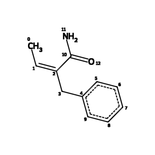 CC=C(Cc1ccccc1)C(N)=O